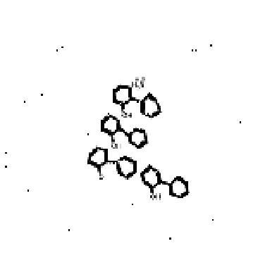 Oc1ccccc1-c1ccccc1.Oc1ccccc1-c1ccccc1.Oc1ccccc1-c1ccccc1.Oc1ccccc1-c1ccccc1.S.S